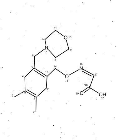 CC1=C(C)CC(CN2CCOCC2)=C(CO/N=C\C(=O)O)C1